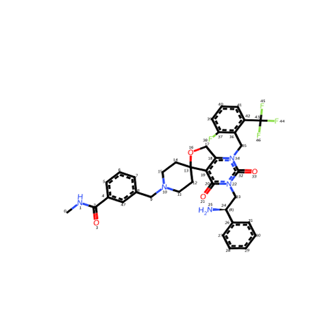 CNC(=O)c1cccc(CN2CCC3(CC2)OCc2c3c(=O)n(C[C@H](N)c3ccccc3)c(=O)n2Cc2c(F)cccc2C(F)(F)F)c1